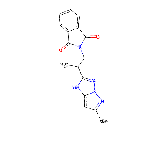 CC(CN1C(=O)c2ccccc2C1=O)c1nn2nc(C(C)(C)C)cc2[nH]1